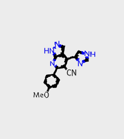 COc1ccc(-c2nc3[nH]ncc3c(-c3c[nH]cn3)c2C#N)cc1